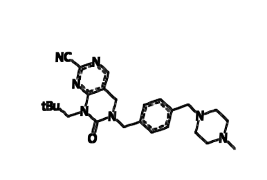 CN1CCN(Cc2ccc(CN3Cc4cnc(C#N)nc4N(CC(C)(C)C)C3=O)cc2)CC1